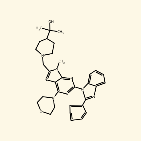 Cn1c(CN2CCC(C(C)(C)O)CC2)nc2c(N3CCOCC3)nc(-n3c(-c4ccccc4)nc4ccccc43)nc21